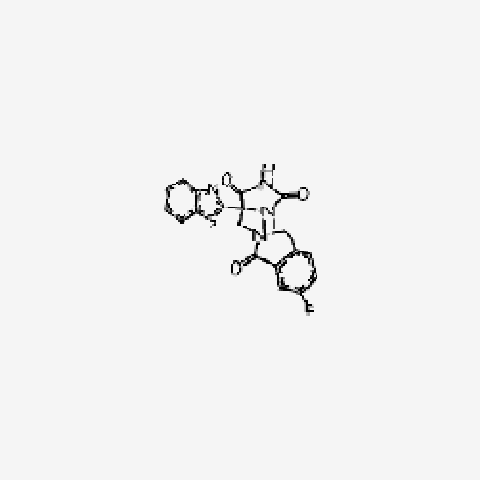 O=C1NC(=O)[C@@](CN2Cc3ccc(F)cc3C2=O)(c2nc3ccccc3s2)N1